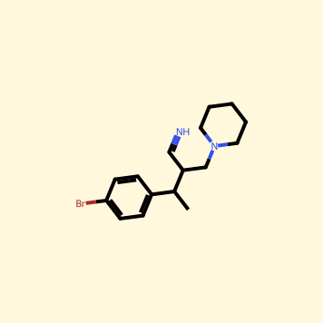 CC(c1ccc(Br)cc1)C(C=N)CN1CCCCC1